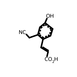 N#CCc1cc(O)ccc1C=CC(=O)O